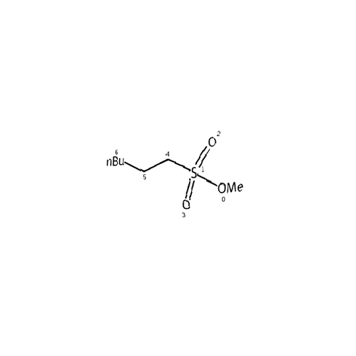 [CH2]OS(=O)(=O)CCCCCC